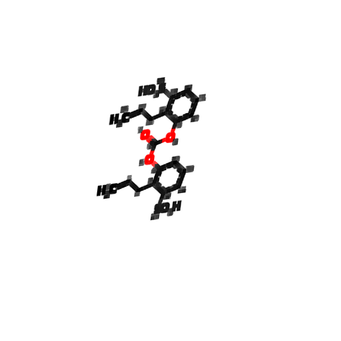 C=CCc1c(OC(=O)Oc2cccc(S(=O)(=O)O)c2CC=C)cccc1S(=O)(=O)O